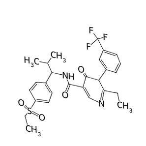 CCC1=NC=C(C(=O)NC(c2ccc(S(=O)(=O)CC)cc2)C(C)C)C(=O)C1c1cccc(C(F)(F)F)c1